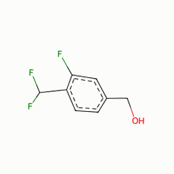 OCc1ccc(C(F)F)c(F)c1